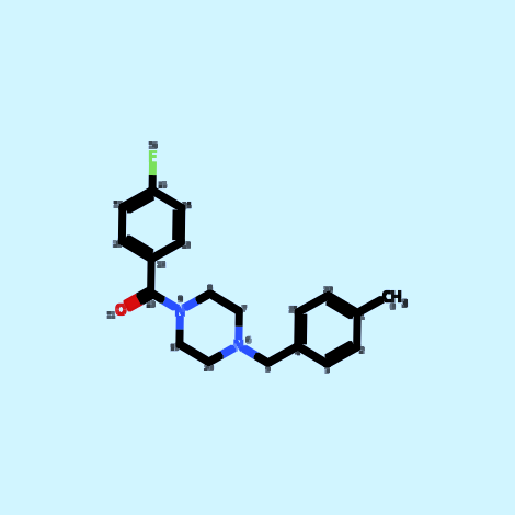 Cc1ccc(CN2CCN(C(=O)c3ccc(F)cc3)CC2)cc1